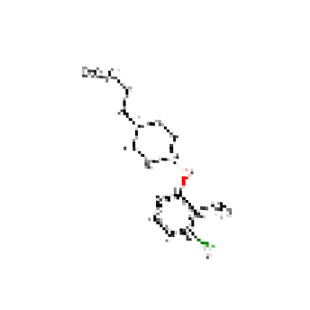 CCOC(=O)CC[C@H]1CC[C@H](Oc2cccc(Br)c2C(F)(F)F)CC1